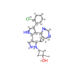 CC1(O)CC(n2ncc(-c3[nH]cc(-c4ccccc4Cl)c3-c3ccncn3)c2C(F)(F)F)C1